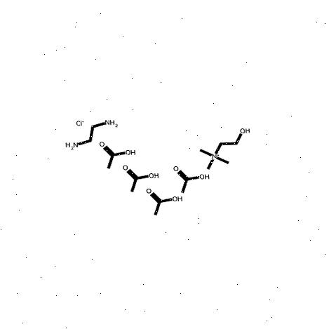 CC(=O)O.CC(=O)O.CC(=O)O.CC(=O)O.C[N+](C)(C)CCO.NCCN.[Cl-]